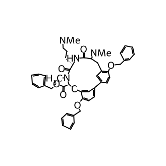 CNCCC[C@@H]1NC(=O)[C@@H](NC)Cc2cc(ccc2OCc2ccccc2)-c2ccc(OCc3ccccc3)c(c2)C[C@@H](C(=O)OCc2ccccc2)N(C)C1=O